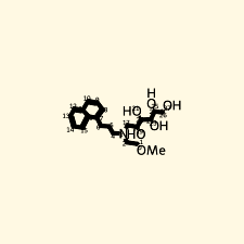 COCCN(CCCc1cccc2ccccc12)C[C@H](O)[C@@H](O)[C@H](O)[C@H](O)CO